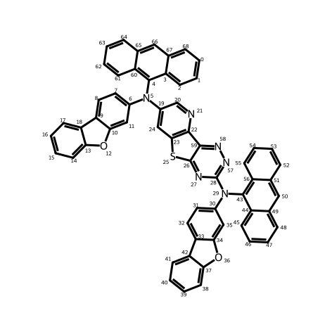 c1ccc2c(N(c3ccc4c(c3)oc3ccccc34)c3cnc4c(c3)sc3nc(N(c5ccc6c(c5)oc5ccccc56)c5c6ccccc6cc6ccccc56)nnc34)c3ccccc3cc2c1